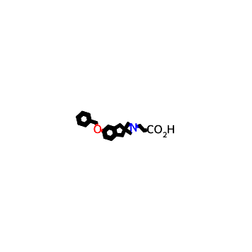 O=C(O)CCN1CC2(Cc3ccc(OCc4ccccc4)cc3C2)C1